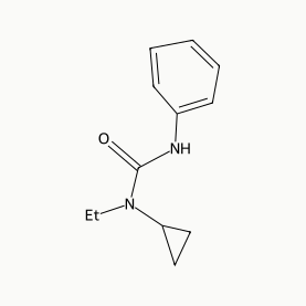 CCN(C(=O)Nc1ccccc1)C1CC1